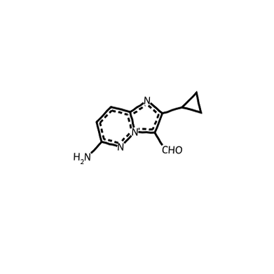 Nc1ccc2nc(C3CC3)c(C=O)n2n1